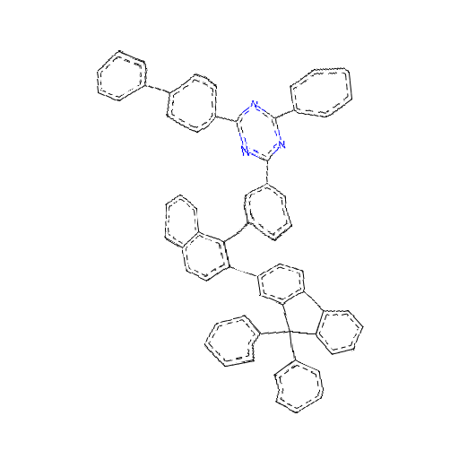 c1ccc(-c2ccc(-c3nc(-c4ccccc4)nc(-c4cccc(-c5c(-c6ccc7c(c6)C(c6ccccc6)(c6ccccc6)c6ccccc6-7)ccc6ccccc56)c4)n3)cc2)cc1